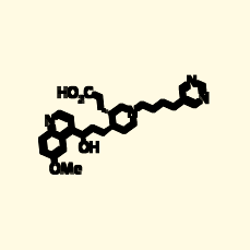 COc1ccc2nccc([C@H](O)CC[C@@H]3CCN(CCCCc4cncnc4)C[C@H]3CCC(=O)O)c2c1